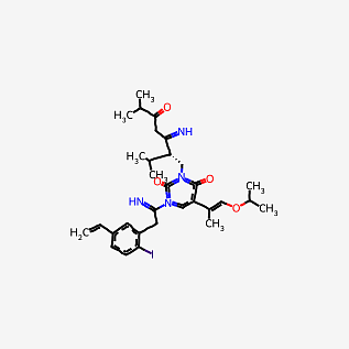 C=Cc1ccc(I)c(CC(=N)n2cc(/C(C)=C/OC(C)C)c(=O)n(C[C@@H](C(=N)CC(=O)C(C)C)C(C)C)c2=O)c1